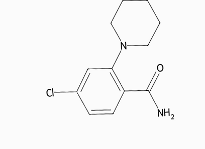 NC(=O)c1ccc(Cl)cc1N1CCCCC1